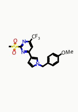 COc1ccc(Cn2ccc(-c3cc(C(F)(F)F)nc(S(C)(=O)=O)n3)c2)cc1